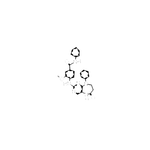 COc1cc(C(=O)Nc2ccccc2)ccc1Nc1ncc2c(n1)N(c1ccccc1)CCC(=O)N2